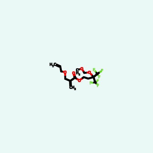 C=CCOCC(=C)C(=O)OCCC(OCOC)(C(F)(F)F)C(F)(F)F